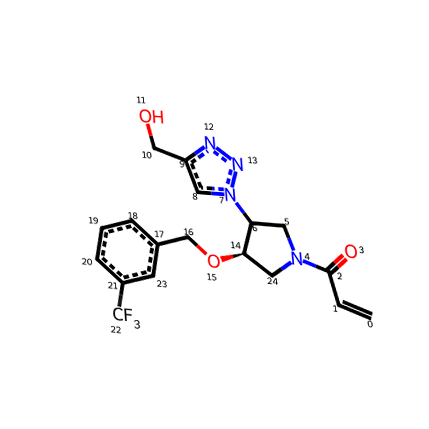 C=CC(=O)N1CC(n2cc(CO)nn2)[C@H](OCc2cccc(C(F)(F)F)c2)C1